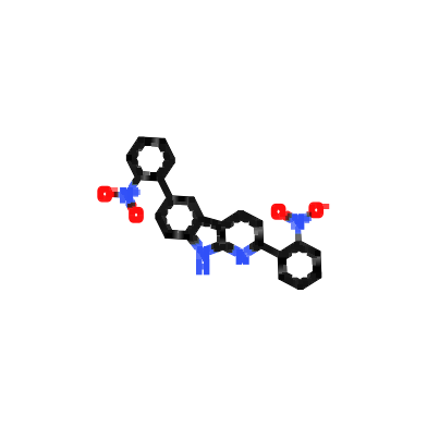 O=[N+]([O-])c1ccccc1-c1ccc2[nH]c3nc(-c4ccccc4[N+](=O)[O-])ccc3c2c1